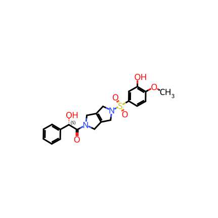 COc1ccc(S(=O)(=O)N2CC3=C(CN(C(=O)[C@@H](O)c4ccccc4)C3)C2)cc1O